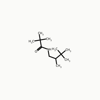 CC(CNC(=O)C(C)(C)C)C(C)(C)C